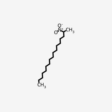 CCCCCCCCCCCCCCCC(C)[N+](=O)[O-]